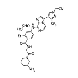 CCc1cc(Nc2nccn3c(-c4cn(CC#N)nc4C(F)(F)F)cnc23)ccc1C(=O)NCC(=O)N1CCCC(N)C1.O=CO